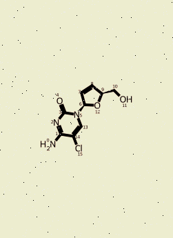 Nc1nc(=O)n([C@H]2C=C[C@@H](CO)O2)cc1Cl